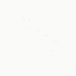 COc1ncc(F)cc1C(=O)Nc1cccc(-c2nnc3n2C2(CC3)CC2)n1